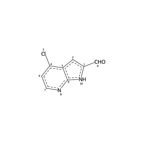 O=Cc1cc2c(Cl)ccnc2[nH]1